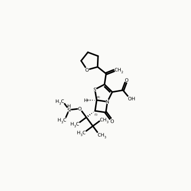 C=C(C1=C(C(=O)O)N2C(=O)[C@H](C(C)(O[SiH](C)C)C(C)(C)C)[C@H]2S1)C1CCCO1